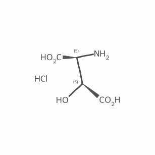 Cl.N[C@H](C(=O)O)[C@H](O)C(=O)O